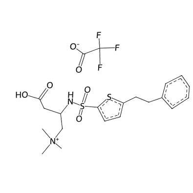 C[N+](C)(C)CC(CC(=O)O)NS(=O)(=O)c1ccc(CCc2ccccc2)s1.O=C([O-])C(F)(F)F